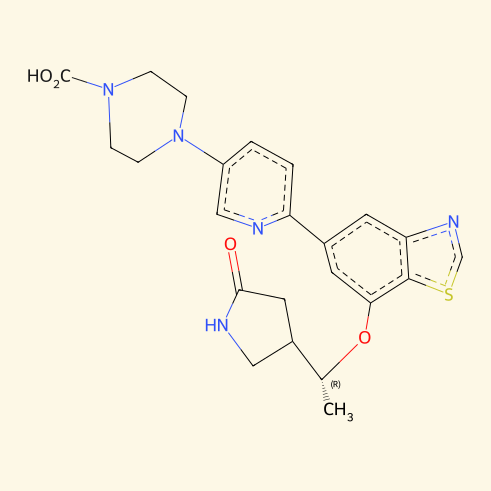 C[C@@H](Oc1cc(-c2ccc(N3CCN(C(=O)O)CC3)cn2)cc2ncsc12)C1CNC(=O)C1